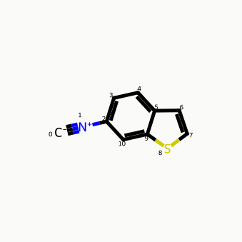 [C-]#[N+]c1ccc2ccsc2c1